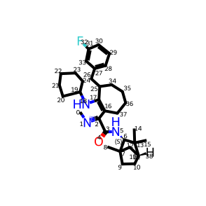 C/N=C(/C(=O)N[C@H]1C2(C)CC[C@H](C2)C1(C)C)C1=C(NC2CCCCC2)C(Cc2cccc(F)c2)CCCC1